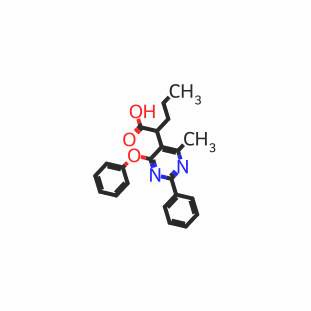 CCCC(C(=O)O)c1c(C)nc(-c2ccccc2)nc1Oc1ccccc1